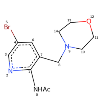 CC(=O)Nc1ncc(Br)cc1CN1CCOCC1